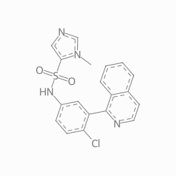 Cn1cncc1S(=O)(=O)Nc1ccc(Cl)c(-c2nccc3ccccc23)c1